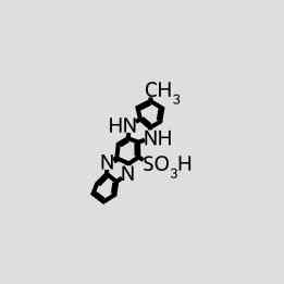 Cc1ccc2c(c1)Nc1cc3nc4ccccc4nc3c(S(=O)(=O)O)c1N2